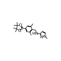 Cc1cc(B2OC(C)(C)C(C)(C)O2)cc(C)c1CNc1ccn(C)n1